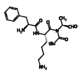 C[C@@H]([C]=O)N(C(=O)[C@H](CCCCN)NC(=O)[C@@H](N)Cc1ccccc1)C(=O)C(C)(C)C